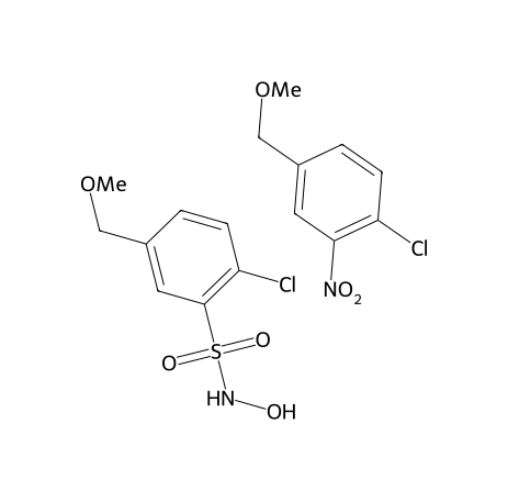 COCc1ccc(Cl)c(S(=O)(=O)NO)c1.COCc1ccc(Cl)c([N+](=O)[O-])c1